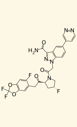 NC(=O)c1nn(CC(=O)N2C[C@H](F)C[C@H]2C(=O)Cc2cc3c(cc2F)OC(F)(F)O3)c2ccc(-c3ccnnc3)cc12